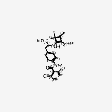 CCCCCCC1=C(N[C@@H](Cc2ccc(NC(=O)c3c(Cl)cncc3Cl)cc2)C(=O)OCC)C(C)(C)C1=O